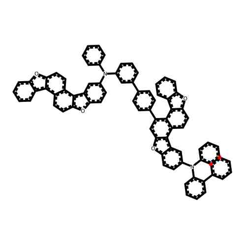 c1ccc(-c2ccccc2N(c2ccccc2)c2ccc3oc4cc(-c5ccc(-c6cccc(N(c7ccccc7)c7ccc8oc9ccc%10c(ccc%11oc%12ccccc%12c%11%10)c9c8c7)c6)cc5)c5c(ccc6oc7ccccc7c65)c4c3c2)cc1